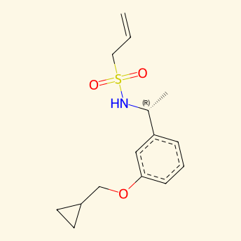 C=CCS(=O)(=O)N[C@H](C)c1cccc(OCC2CC2)c1